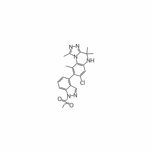 Cc1c(-c2cccc3c2cnn3S(C)(=O)=O)c(Cl)cc2c1-n1c(C)nnc1C(C)(C)N2